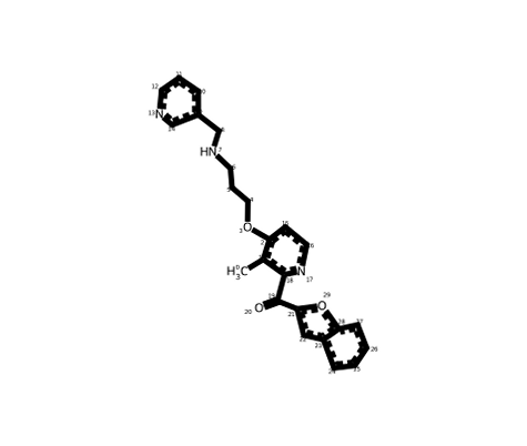 Cc1c(OCCCNCc2cccnc2)ccnc1C(=O)c1cc2ccccc2o1